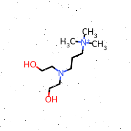 C[N+](C)(C)CCCN(CCO)CCO